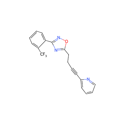 FC(F)(F)c1ccccc1-c1noc(CCC#Cc2ccccn2)n1